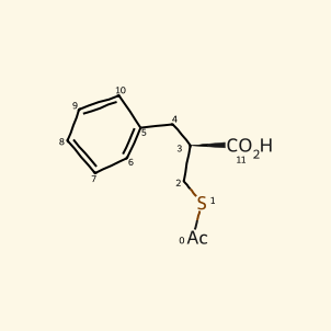 CC(=O)SC[C@@H](Cc1ccccc1)C(=O)O